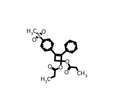 CCC(=O)OC1(OC(=O)CC)CC(c2ccc(S(C)(=O)=O)cc2)=C1c1ccccc1